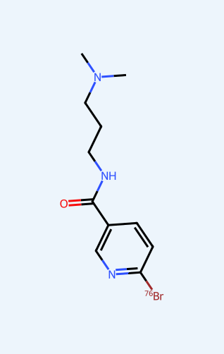 CN(C)CCCNC(=O)c1ccc([76Br])nc1